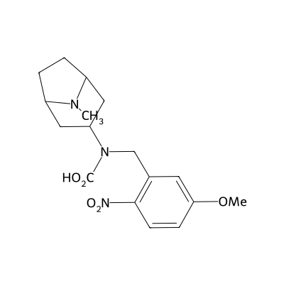 COc1ccc([N+](=O)[O-])c(CN(C(=O)O)C2CC3CCC(C2)N3C)c1